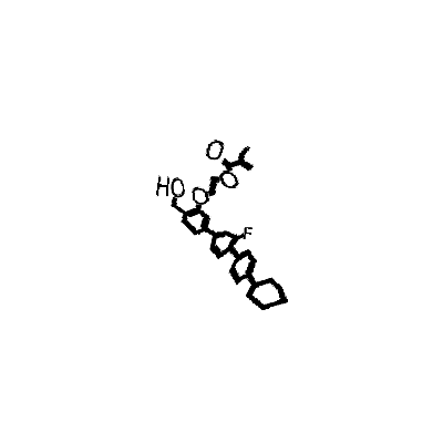 C=C(C)C(=O)OCCOc1cc(-c2ccc(-c3ccc(C4CCCCC4)cc3)c(F)c2)ccc1CO